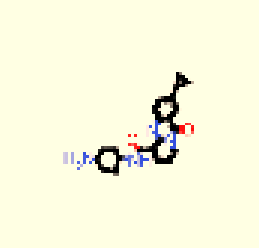 NC1CCC(NC(=O)c2cccn3c(=O)c4cc(C5CC5)ccc4nc23)CC1